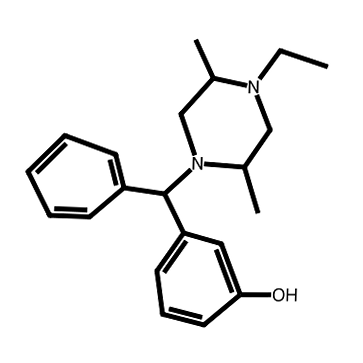 CCN1CC(C)N(C(c2ccccc2)c2cccc(O)c2)CC1C